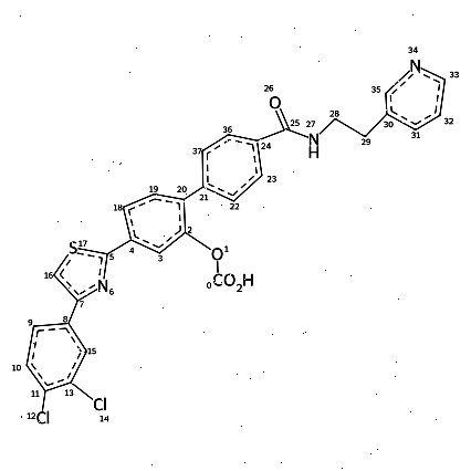 O=C(O)Oc1cc(-c2nc(-c3ccc(Cl)c(Cl)c3)cs2)ccc1-c1ccc(C(=O)NCCc2cccnc2)cc1